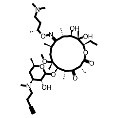 C#CCCN(C)[C@H]1C[C@@H](C)OC(O[C@@H]2[C@@H](C)C(=O)[C@@H](C)C(=O)O[C@H](CC)[C@@](C)(O)[C@H](O)[C@@H](C)/C(=N/O[C@H](C)CCN(C)C)[C@H](C)C[C@@]2(C)OC)[C@@H]1O